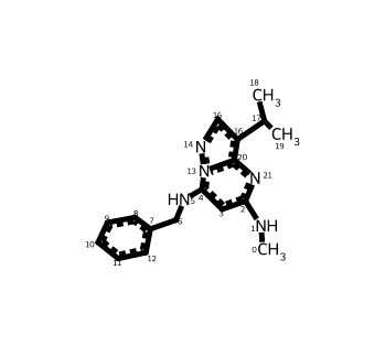 CNc1cc(NCc2ccccc2)n2ncc(C(C)C)c2n1